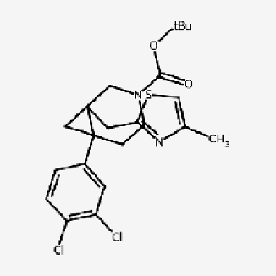 Cc1csc(CC23CN(C(=O)OC(C)(C)C)CCC2(c2ccc(Cl)c(Cl)c2)C3)n1